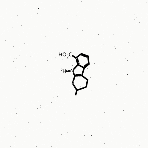 [2H]n1c2c(c3cccc(C(=O)O)c31)CCC(C)C2